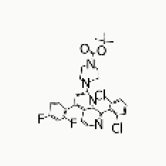 CC(C)(C)OC(=O)N1CCN(c2cc(-c3ccc(F)cc3F)c3ccnc(-c4c(Cl)cccc4Cl)c3n2)CC1